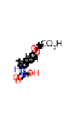 C=C(C)[C@@H]1CC[C@]2(NC[C@H]([C@@H](C)O)N3CCS(=O)(=O)CC3)CC[C@]3(C)[C@H](CC[C@@H]4[C@@]5(C)CC[C@H](OC(=O)[C@@H]6C[C@H](C(=O)O)C6(C)C)C(C)(C)[C@@H]5CC[C@]43C)[C@@H]12